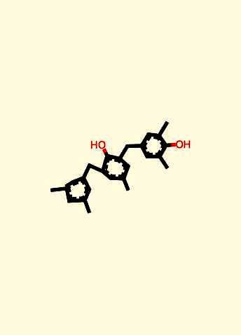 Cc1cc(C)cc(Cc2cc(C)cc(Cc3cc(C)c(O)c(C)c3)c2O)c1